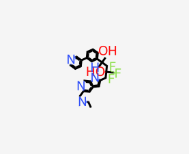 CCN(C)Cc1cc2cc(CC(O)(CC(C)(C)c3cc(-c4cccnc4)ccc3O)C(F)(F)F)[nH]c2cn1